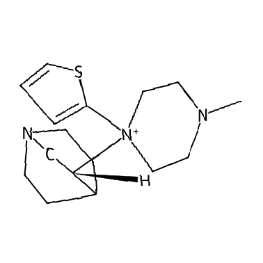 CN1CC[N+](c2cccs2)([C@H]2CN3CCC2CC3)CC1